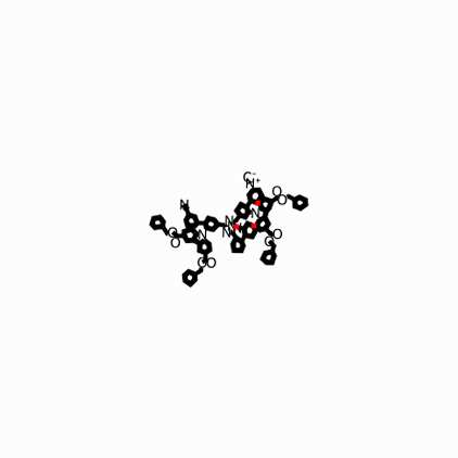 [C-]#[N+]c1cccc(-c2ccc(-c3nc(-c4ccc(-c5cccc(C#N)c5)c(-n5c6ccc(C(=O)OCc7ccccc7)cc6c6cc(C(=O)OCc7ccccc7)ccc65)c4)nc(-c4ccccc4-c4ccccc4C#N)n3)cc2-n2c3ccc(C(=O)OCc4ccccc4)cc3c3cc(C(=O)OCc4ccccc4)ccc32)c1